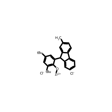 Cc1ccc2c(c1)C(c1cc(C(C)(C)C)cc(C(C)(C)C)c1[O][Zr+2])c1ccccc1-2.[Cl-].[Cl-]